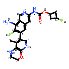 Cc1c(-c2cc3cc(NC(=O)OC4CC(F)C4)ncc3c(N)c2F)cnc2c1NCCO2